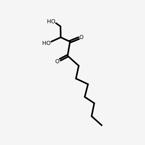 CCCCCCCC(=O)C(=O)C(O)CO